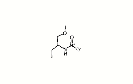 CCC(COC)N[N+](=O)[O-]